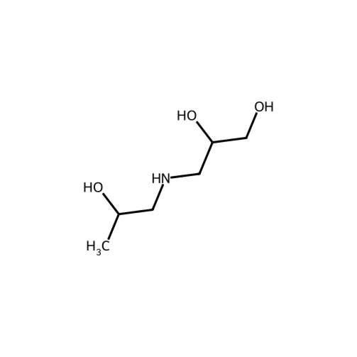 CC(O)CNCC(O)CO